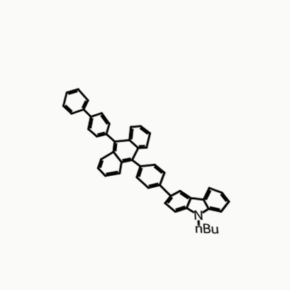 CCCCn1c2ccccc2c2cc(-c3ccc(-c4c5ccccc5c(-c5ccc(-c6ccccc6)cc5)c5ccccc45)cc3)ccc21